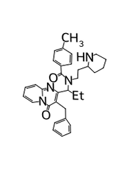 CCC(c1nc2ccccn2c(=O)c1Cc1ccccc1)N(CCC1CCCCN1)C(=O)c1ccc(C)cc1